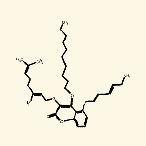 CC/C=C/CCOc1cccc2oc(=O)c(OC/C=C(\C)CCC=C(C)C)c(OCCCCCCCCCC)c12